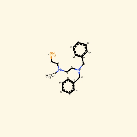 CN(CCP)CCN(Cc1ccccc1)Cc1ccccc1